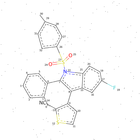 [CH2]c1ccccc1-c1c(-c2ccsc2C#N)c2cc(F)ccc2n1S(=O)(=O)c1ccc(C)cc1